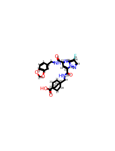 O=C(NCc1ccc2c(c1)OCO2)c1cc(C(=O)NCC23CCC(C(=O)O)(CC2)CC3)n2ncc(F)c2n1